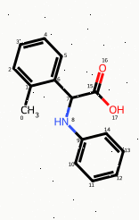 Cc1ccccc1C(Nc1ccccc1)C(=O)O